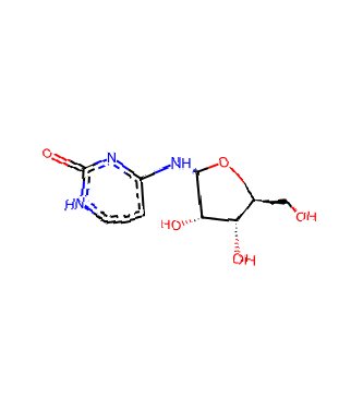 O=c1nc(N[C@@H]2O[C@@H](CO)[C@H](O)[C@@H]2O)cc[nH]1